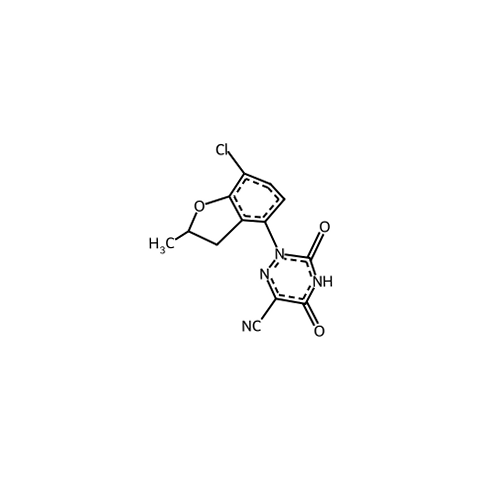 CC1Cc2c(-n3nc(C#N)c(=O)[nH]c3=O)ccc(Cl)c2O1